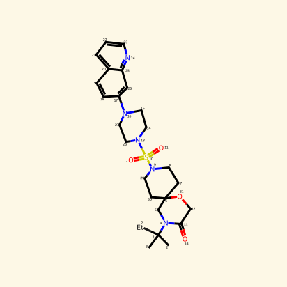 CCC(C)(C)N1CC2(CCN(S(=O)(=O)N3CCN(c4ccc5cccnc5c4)CC3)CC2)OCC1=O